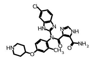 Cc1cc(OC2CCNCC2)ccc1N(C(=O)c1nc[nH]c1C(N)=O)c1nc2ccc(Cl)cc2[nH]1